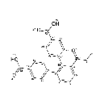 CC[P](=O)c1cccc(-c2ccc(C(=O)O)cc2)c1-c1ccc(C(=O)O)cc1